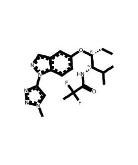 CC[C@@H](Oc1ccc2c(cnn2-c2cn(C)nn2)c1)[C@@H](NC(=O)C(C)(F)F)C(C)C